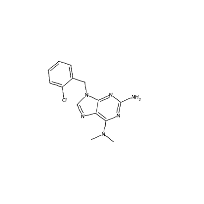 CN(C)c1nc(N)nc2c1ncn2Cc1ccccc1Cl